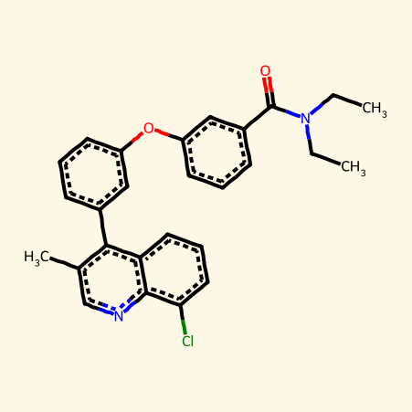 CCN(CC)C(=O)c1cccc(Oc2cccc(-c3c(C)cnc4c(Cl)cccc34)c2)c1